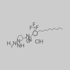 CCCCCCCCCCc1ccc(-c2noc(C3CCCN(C(=N)N)C3)n2)cc1C(F)(F)F.Cl